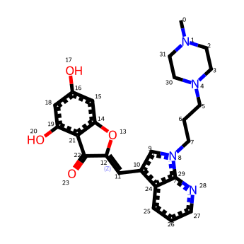 CN1CCN(CCCn2cc(/C=C3\Oc4cc(O)cc(O)c4C3=O)c3cccnc32)CC1